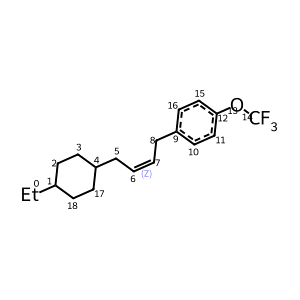 CCC1CCC(C/C=C\Cc2ccc(OC(F)(F)F)cc2)CC1